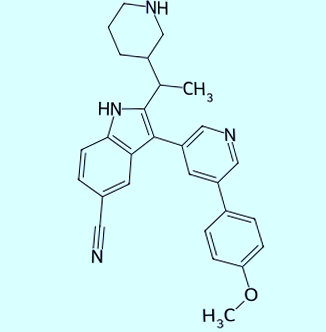 COc1ccc(-c2cncc(-c3c(C(C)C4CCCNC4)[nH]c4ccc(C#N)cc34)c2)cc1